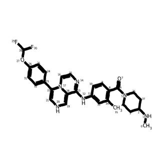 CNC1CCN(C(=O)c2ccc(NC3=NC=CN4C3=CNC=C4c3ccc(OC(F)F)cc3)cc2C)CC1